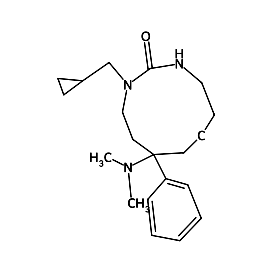 CN(C)C1(c2ccccc2)CCCCNC(=O)N(CC2CC2)CC1